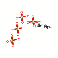 O=S(=O)([O-])[O-].O=S(=O)([O-])[O-].O=S(=O)([O-])[O-].O=S(=O)([O-])[O-].[Bi+3].[Pb+2].[Sb+3]